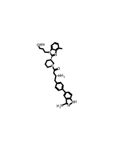 COCCCn1c([C@@H]2CCCN(C(=O)C[C@H](N)Cc3ccc(-c4ccc5[nH]nc(N)c5c4)cc3)C2)nc2c(C)cccc21